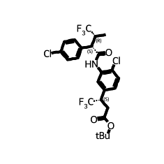 C[C@H]([C@H](C(=O)Nc1cc([C@H](CC(=O)OC(C)(C)C)C(F)(F)F)ccc1Cl)c1ccc(Cl)cc1)C(F)(F)F